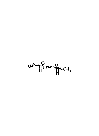 CCCNC(=O)OCCCOC(=O)NCCN=C=O